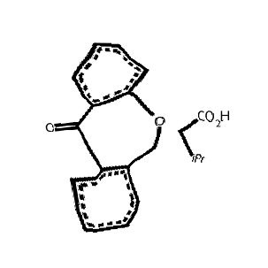 CC(C)CC(=O)O.O=C1c2ccccc2COc2ccccc21